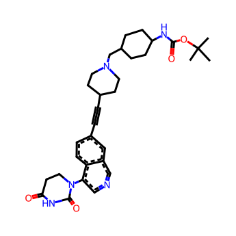 CC(C)(C)OC(=O)NC1CCC(CN2CCC(C#Cc3ccc4c(N5CCC(=O)NC5=O)cncc4c3)CC2)CC1